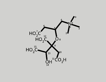 C[N+](C)(C)CC(CC(=O)O)OC(CC(=O)O)(C(=O)O)C(O)C(=O)O